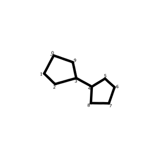 [CH]1CCC(C2CCCC2)C1